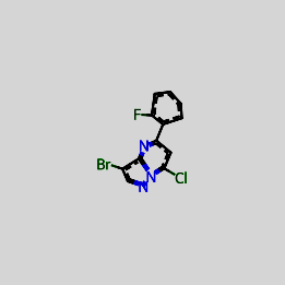 Fc1ccccc1-c1cc(Cl)n2ncc(Br)c2n1